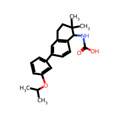 CC(C)Oc1cccc(-c2ccc3c(c2)CCC(C)(C)C3NC(=O)O)c1